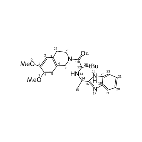 COc1cc2c(cc1OC)CN(C(=O)C(NC(C)c1nc3ccccc3[nH]1)C(C)(C)C)CC2